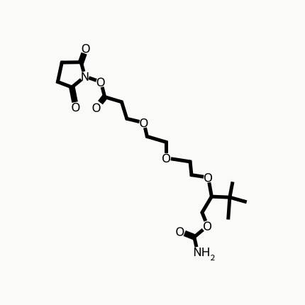 CC(C)(C)C(COC(N)=O)OCCOCCOCCC(=O)ON1C(=O)CCC1=O